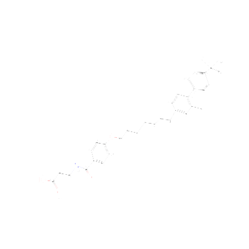 Cc1cc(CCCCCCCOc2ccc(C(=O)NCCC(=O)O)cc2)ccc1-c1ccc(C(C)(C)C)cc1